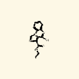 CCOC(=O)c1ncn2c1c(S)nc1ccccc12